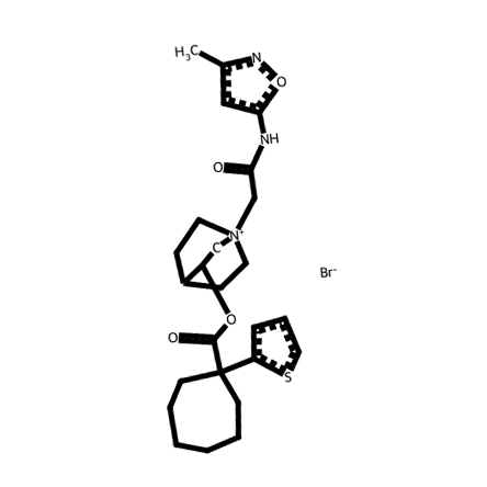 Cc1cc(NC(=O)C[N+]23CCC(CC2)C(OC(=O)C2(c4cccs4)CCCCCC2)C3)on1.[Br-]